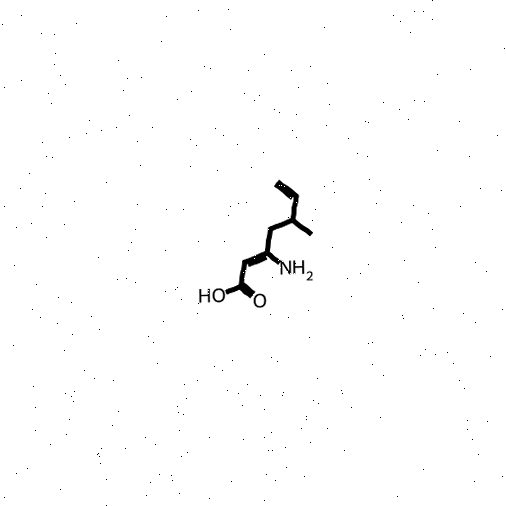 C=CC(C)CC(N)=CC(=O)O